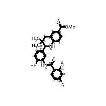 COC(=O)c1ccc2c(c1)CC(C)(C)C(c1ccc(F)c(NC(=O)c3ccc(F)cc3Cl)c1)N2